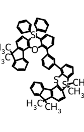 CC1(C)c2ccccc2-c2c1ccc1c2Oc2c(-c3cccc(-c4cccc5c4Sc4c(ccc6c4-c4ccccc4C6(C)C)[Si]5(C)C)c3)cccc2[Si]1(c1ccccc1)c1ccccc1